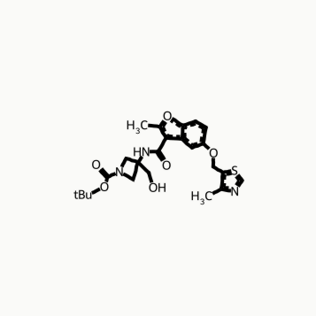 Cc1ncsc1COc1ccc2oc(C)c(C(=O)NC3(CO)CN(C(=O)OC(C)(C)C)C3)c2c1